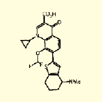 CNC1CCCc2sc(-c3ccc4c(=O)c(C(=O)O)cn(C5CC5)c4c3OC(F)F)cc21